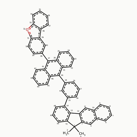 CC1(C)c2cc3ccccc3cc2-c2c(-c3cccc(-c4c5ccccc5c(-c5ccc6oc7ccccc7c6c5)c5ccccc45)c3)cccc21